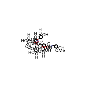 COc1cc(/C=C/C(=O)OCC2O[C@@H](Oc3cc4c(O[C@@H]5OC(CO)[C@@H](O)[C@H](O)C5O)cc(O)cc4[o+]c3-c3ccc(O)cc3)C(O[C@@H]3OC(COC(=O)/C=C/c4ccc(O)c(O)c4)[C@@H](O)[C@H](O)C3O)[C@@H](O)[C@@H]2O)ccc1O